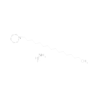 CCCCCCCCCCCCCCCC[n+]1ccccc1.F.N.[F-]